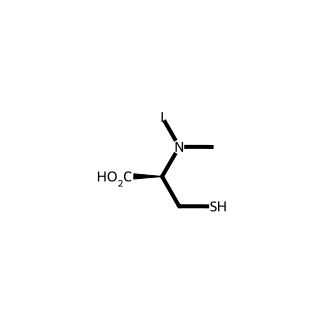 CN(I)[C@@H](CS)C(=O)O